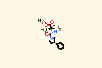 COC(=O)C(C)(C)NC(=O)N1CC[C@H](c2ccccc2)C1